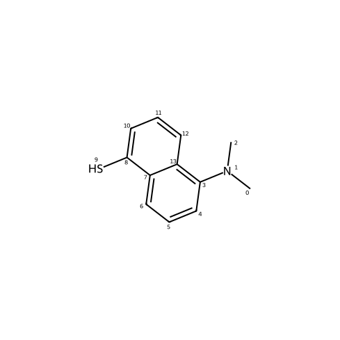 CN(C)c1cccc2c(S)cccc12